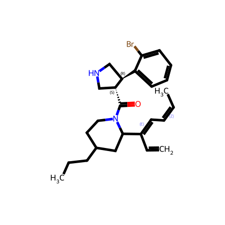 C=C/C(=C\C=C/C)C1CC(CCC)CCN1C(=O)[C@@H]1CNC[C@H]1c1ccccc1Br